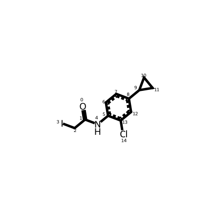 O=C(CI)Nc1ccc(C2CC2)cc1Cl